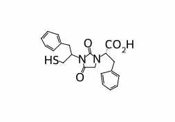 O=C(O)[C@H](Cc1ccccc1)N1CC(=O)N(C(CS)Cc2ccccc2)C1=O